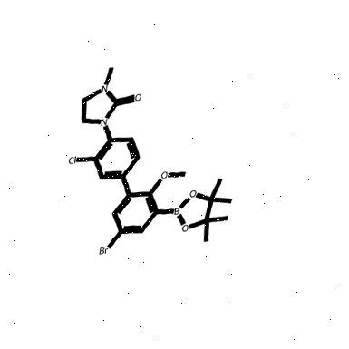 COc1c(B2OC(C)(C)C(C)(C)O2)cc(Br)cc1-c1ccc(N2CCN(C)C2=O)c(Cl)c1